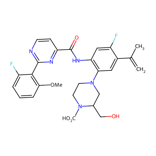 C=C(C)c1cc(N2CCN(C(=O)O)C(CO)C2)c(NC(=O)c2ccnc(-c3c(F)cccc3OC)n2)cc1F